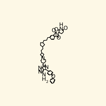 Nc1ncnc2c1c(-c1ccc(Oc3ccccc3)cc1)nn2C1CCN(C2CC(CCC3CCC(CCCc4ccc5c(c4)C(=O)N(C4CCC(=O)NC4=O)C5=O)C3)C2)CC1